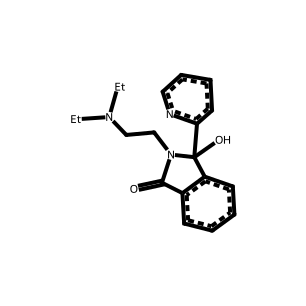 CCN(CC)CCN1C(=O)c2ccccc2C1(O)c1ccccn1